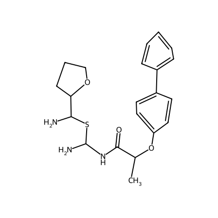 CC(Oc1ccc(-c2ccccc2)cc1)C(=O)NC(N)SC(N)C1CCCO1